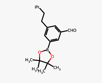 CC(C)CCc1cc(C=O)cc(B2OC(C)(C)C(C)(C)O2)c1